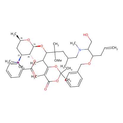 C=CCC(OCc1ccccc1)C(CO)N(C)CC(C)CC(C)(OC)C(O[C@@H]1O[C@H](C)C[C@H](N(C)C)[C@H]1OC(=O)c1ccccc1)C(C)C1=C(C)C(=O)OC(C)(C)O1